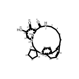 O=C1NCCCCC2=Cc3ccn(c3CC=C2)C2(CCCC2)Cn2cc(O)c(=O)c1n2